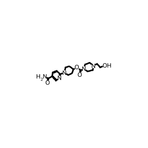 NC(=O)c1ccc(N2CCC(OC(=O)N3CCN(CCO)CC3)CC2)nc1